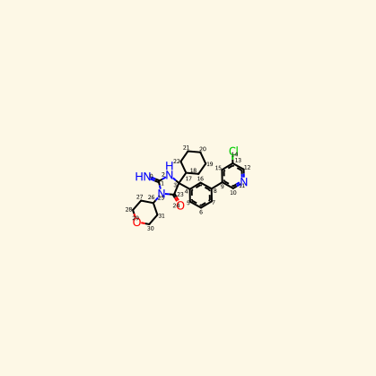 N=C1NC(c2cccc(-c3cncc(Cl)c3)c2)(C2CCCCC2)C(=O)N1C1CCOCC1